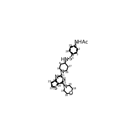 CC(=O)Nc1ccc(SNC2CCN(c3nc(N4CCOCC4)c4sccc4n3)CC2)cc1